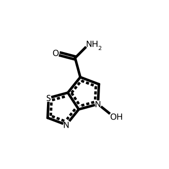 NC(=O)c1cn(O)c2ncsc12